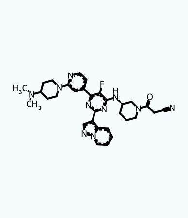 CN(C)C1CCN(c2cc(-c3nc(-c4cnn5ccccc45)nc(N[C@@H]4CCCN(C(=O)CC#N)C4)c3F)ccn2)CC1